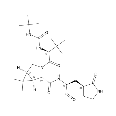 CC(C)(C)NC(=O)N[C@H](C(=O)N1C[C@H]2[C@@H]([C@H]1C(=O)N[C@H](C=O)C[C@@H]1CCNC1=O)C2(C)C)C(C)(C)C